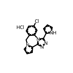 Cl.Clc1ccc2c(c1)-n1c(-c3ccc[nH]3)nnc1-c1cccn1C2